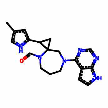 Cc1c[nH]c(C2CC23CN(c2ncnc4[nH]ccc24)CCCN3C=O)c1